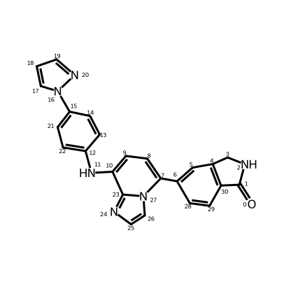 O=C1NCc2cc(-c3ccc(Nc4ccc(-n5cccn5)cc4)c4nccn34)ccc21